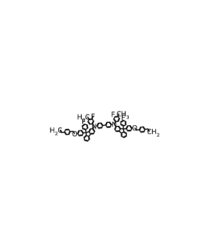 C=Cc1ccc(COc2ccc(C3(c4ccc(F)cc4)c4ccccc4-c4ccc(N(c5ccc(-c6ccc(N(c7ccc(C)c(F)c7)c7ccc8c(c7)C(c7ccc(F)cc7)(c7ccc(OCc9ccc(C=C)cc9)cc7)c7ccccc7-8)cc6)cc5)c5ccc(C)c(F)c5)cc43)cc2)cc1